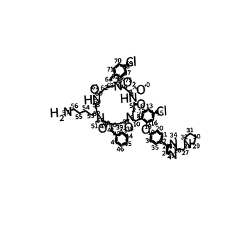 COC[C@@H]1NC(=O)[C@H](C)N(Cc2ccc(Cl)cc2Oc2ccc(-c3cnc(CN4CCCC4)n3C)cc2)C(=O)C[C@@H](Cc2ccccc2)C(=O)N(C)[C@@H](CCCCN)CNC(=O)C[C@H](Cc2ccc(Cl)cc2)N(C)C1=O